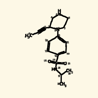 CC#CC1CNCCN1c1ccc(S(=O)(=O)NC(C)C)cc1